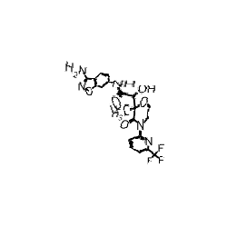 CC1(C(O)C(=O)Nc2ccc3c(N)noc3c2)OCCN(c2cccc(C(F)(F)F)n2)C1=O